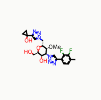 CO[C@@H]1[C@@H](n2cc(-c3ccc(C)c(F)c3F)nn2)[C@@H](O)[C@@H](CO)O[C@@H]1Cn1cc(C2(O)CC2)nn1